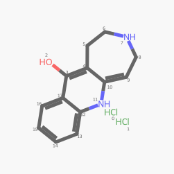 Cl.Cl.OC1=C2CCNCC=C2Nc2ccccc21